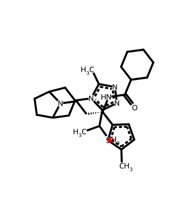 Cc1ccc([C@H](CCN2C3CCC2CC(n2c(C)nnc2C(C)C)C3)NC(=O)C2CCCCC2)s1